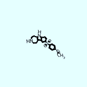 COc1ccc(S(=O)(=O)c2ccc3[nH]c4c(c3c2)CCNCC4)cc1